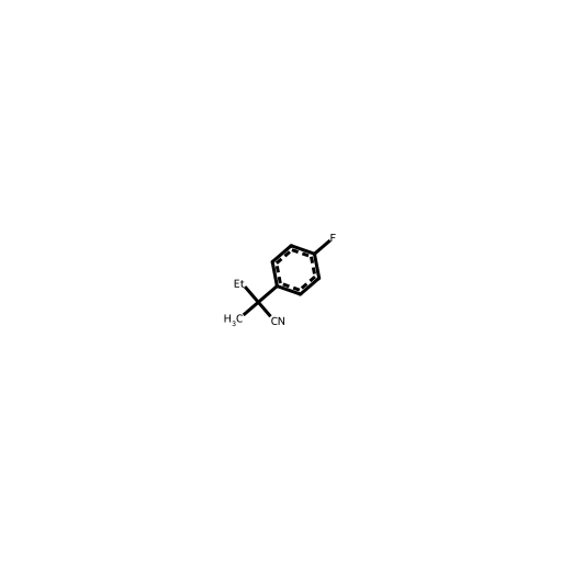 CCC(C)(C#N)c1ccc(F)cc1